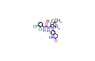 CC(C)(C)c1cc(NC(=O)Nc2cccc(Cl)c2Cl)n(-c2ccc3c(c2)CCC(=O)N3)n1